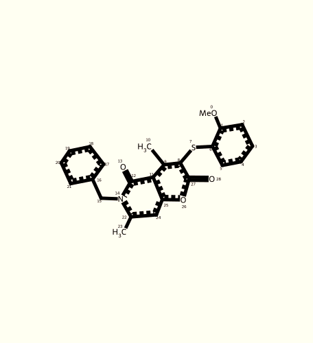 COc1ccccc1Sc1c(C)c2c(=O)n(Cc3ccccc3)c(C)cc2oc1=O